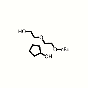 CCCCOCCOCCO.OC1CCCC1